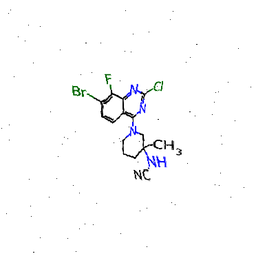 CC1(NC#N)CCCN(c2nc(Cl)nc3c(F)c(Br)ccc23)C1